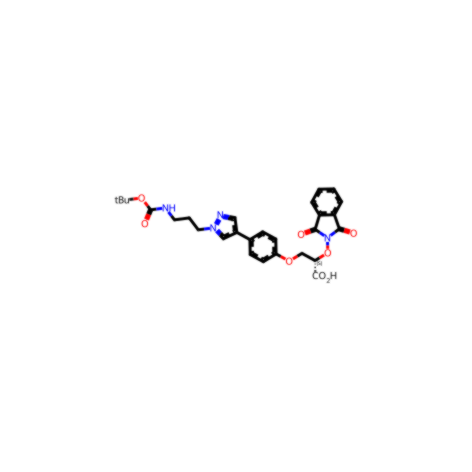 CC(C)(C)OC(=O)NCCCn1cc(-c2ccc(OC[C@H](ON3C(=O)c4ccccc4C3=O)C(=O)O)cc2)cn1